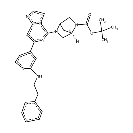 CC(C)(C)OC(=O)N1CC2C[C@@H]1CN2c1nc(-c2ccnc(NCCc3ccccc3)c2)cc2nccn12